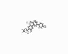 CC(C)(C)OC(=O)c1ccc(-c2nc(C3CCC(=O)CC3)cnc2N)cc1F